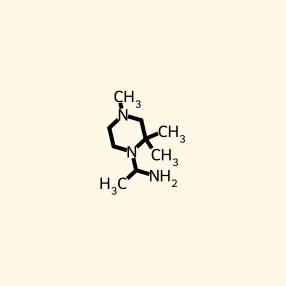 CC(N)N1CCN(C)CC1(C)C